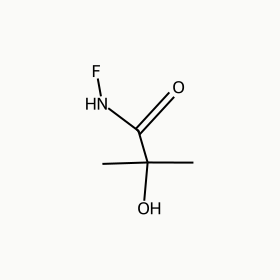 CC(C)(O)C(=O)NF